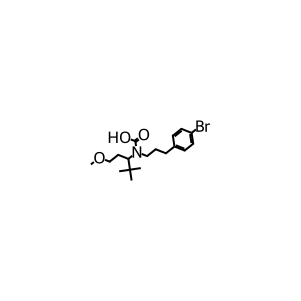 COCCC(N(CCCc1ccc(Br)cc1)C(=O)O)C(C)(C)C